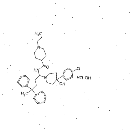 CCCN1CCC(C(=O)NC(CCC(C)(c2ccccc2)c2ccccc2)N2CCC(O)(c3ccc(Cl)cc3)CC2)CC1.Cl.Cl